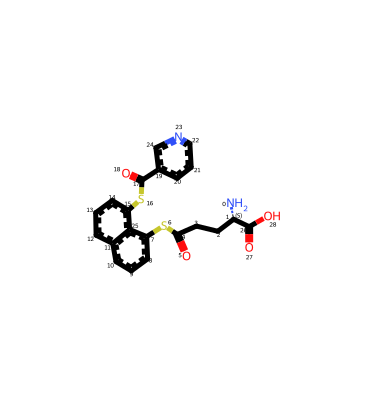 N[C@@H](CCC(=O)Sc1cccc2cccc(SC(=O)c3cccnc3)c12)C(=O)O